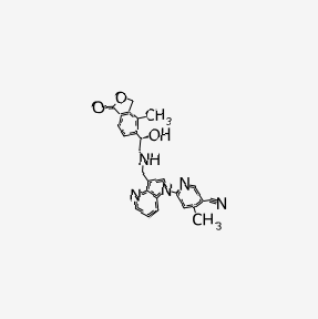 Cc1cc(-n2cc(CNC[C@H](O)c3ccc4c(c3C)COC4=O)c3ncccc32)ncc1C#N